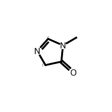 CN1[C]=N[C]C1=O